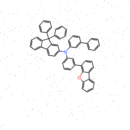 c1ccc(-c2cccc(N(c3cccc(-c4cccc5c4oc4ccccc45)c3)c3ccc4c(c3)C(c3ccccc3)(c3ccccc3)c3ccccc3-4)c2)cc1